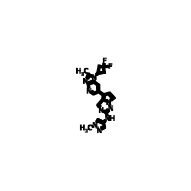 Cc1nc2ncc(-c3ccn4nc(Nc5cnn(C)c5)ncc34)cc2n1C1CC(F)(F)C1